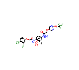 O=C(COc1cnc(OCC(F)(F)F)nc1)NC12CCC(NC(=O)COc3ccc(Cl)c(F)c3)(CC1)[C@@H](O)C2